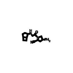 N#CC1CC(P)CN1C(=O)CNC1CCC2CCC21